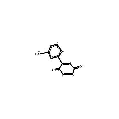 O=C1C=CC(=O)C(c2cccc(C(F)(F)F)c2)=C1